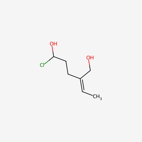 CC=C(CO)CCC(O)Cl